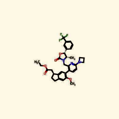 CCOC(=O)C[C@@H]1CCc2cc(OC)c(-c3ccc(N4CCC4)nc3CN3C(=O)O[C@H](c4cccc(C(F)(F)F)c4)[C@@H]3C)cc21